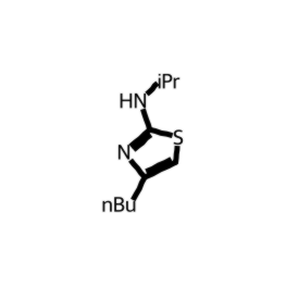 CCCCc1csc(NC(C)C)n1